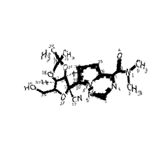 CN(C)C(=O)c1ncnn2c([C@]3(C#N)OC(CO)[C@H]4OC(C)(C)O[C@H]43)ccc12